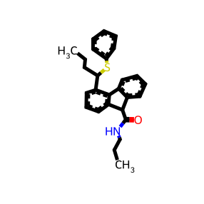 CCCNC(=O)C1c2ccccc2-c2c(C(CCC)Sc3ccccc3)cccc21